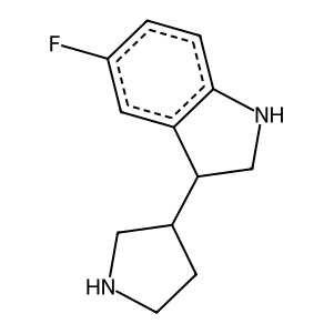 Fc1ccc2c(c1)C(C1CCNC1)CN2